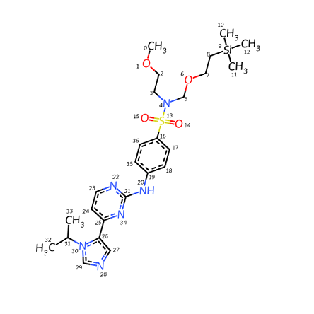 COCCN(COCC[Si](C)(C)C)S(=O)(=O)c1ccc(Nc2nccc(-c3cncn3C(C)C)n2)cc1